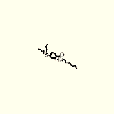 CCCCCCNC(=O)c1ccc(SN(CCC)CCC)cc1